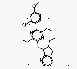 CCc1nc(-c2ccc(OC)cc2Cl)c(CC)nc1NC1c2ncccc2CC1CC